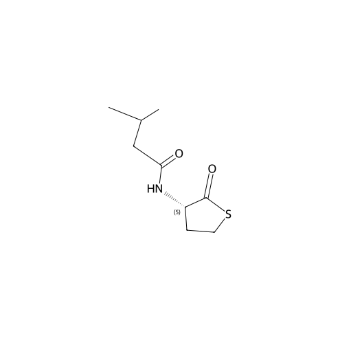 CC(C)CC(=O)N[C@H]1CCSC1=O